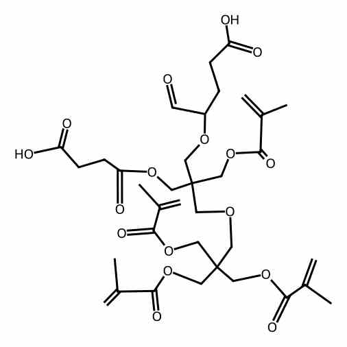 C=C(C)C(=O)OCC(COCC(COC(=O)CCC(=O)O)(COC(=O)C(=C)C)COC(C=O)CCC(=O)O)(COC(=O)C(=C)C)COC(=O)C(=C)C